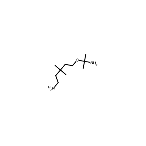 CC(C)(CCN)CCOC(C)(C)N